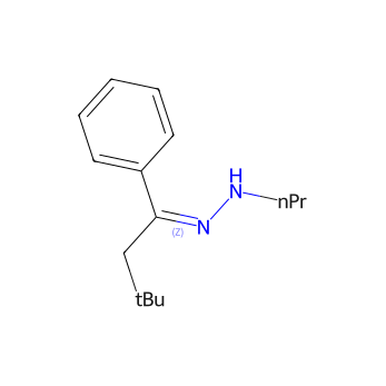 CCCN/N=C(/CC(C)(C)C)c1ccccc1